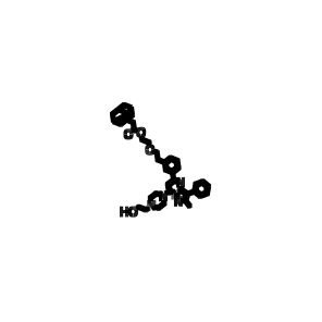 Cc1nn2c(N3CCN(CCO)CC3)cc(-c3cccc(CCOCCOC(=O)CC45CC6CC(CC(C6)C4)C5)c3)nc2c1-c1ccccc1